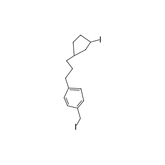 ICc1ccc(CCCC2CCC(I)C2)cc1